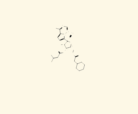 Cc1ncnn2c([C@]3(C#N)O[C@H](COC(=O)CC4CCCCC4)[C@@H](OC(=O)CC(C)C)[C@H]3O)ccc12